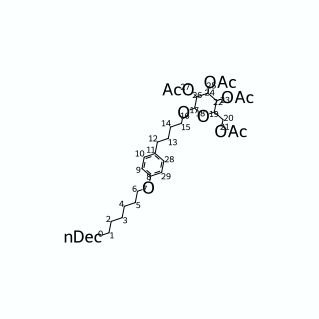 CCCCCCCCCCCCCCCCOc1ccc(CCCCOC2OC(COC(C)=O)C(OC(C)=O)C(OC(C)=O)C2OC(C)=O)cc1